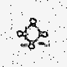 [NaH].[NaH].[NaH].[NaH].c1ccc2c(c1)-c1nc-2nc2[nH]c(nc3nc(nc4[nH]c(n1)c1ccccc41)-c1ccccc1-3)c1ccccc21